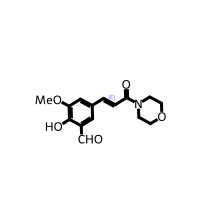 COc1cc(/C=C/C(=O)N2CCOCC2)cc(C=O)c1O